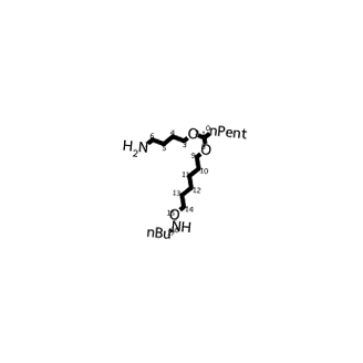 CCCCCC(OCCCCN)OCCCCCCONCCCC